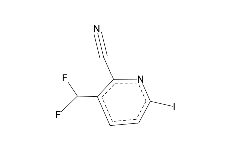 N#Cc1nc(I)ccc1C(F)F